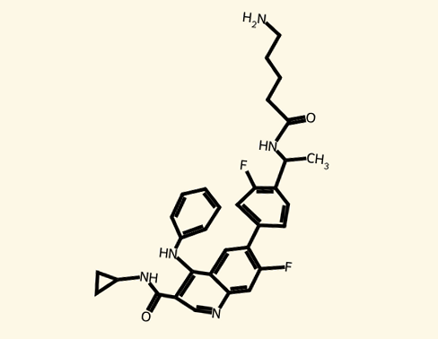 CC(NC(=O)CCCCN)c1ccc(-c2cc3c(Nc4ccccc4)c(C(=O)NC4CC4)cnc3cc2F)cc1F